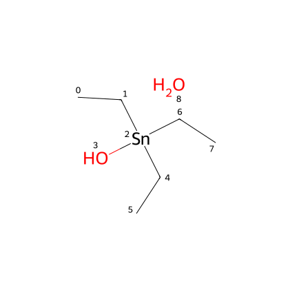 C[CH2][Sn]([OH])([CH2]C)[CH2]C.O